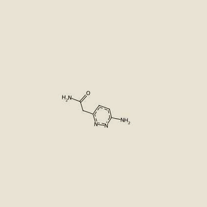 NC(=O)Cc1ccc(N)nn1